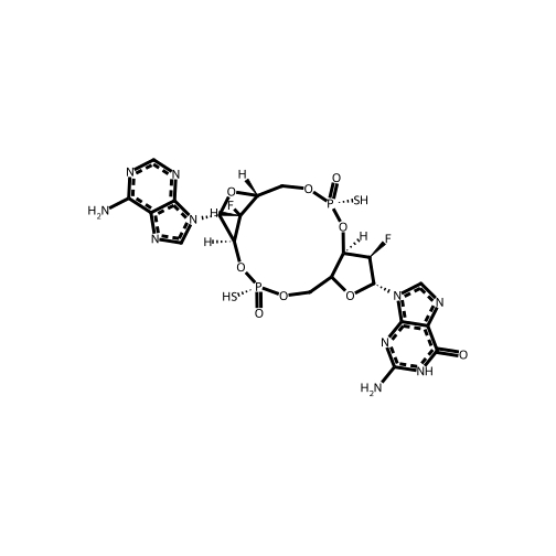 Nc1nc2c(ncn2[C@@H]2OC3CO[P@](=O)(S)O[C@@H]4[C@H](F)[C@@H](CO[P@](=O)(S)O[C@H]3[C@H]2F)O[C@H]4n2cnc3c(N)ncnc32)c(=O)[nH]1